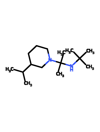 CC(C)C1CCCN(C(C)(C)NC(C)(C)C)C1